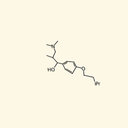 CC(C)CCOc1ccc(C(O)C(C)CN(C)C)cc1